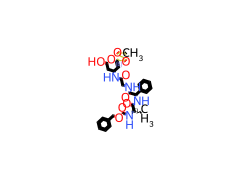 CC[C@H](NC(=O)OCc1ccccc1)C(=O)NC(C(=O)NCC(=O)NC(/C=C/S(C)(=O)=O)CC(=O)O)c1ccccc1